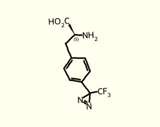 N[C@@H](Cc1ccc(C2(C(F)(F)F)N=N2)cc1)C(=O)O